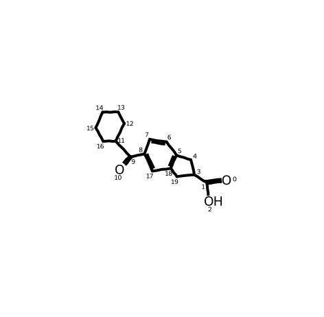 O=C(O)C1Cc2ccc(C(=O)C3CCCCC3)cc2C1